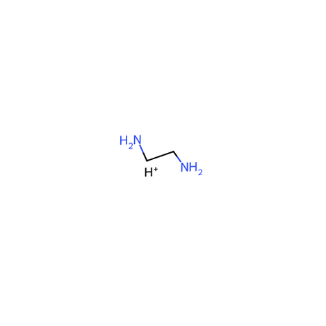 NCCN.[H+]